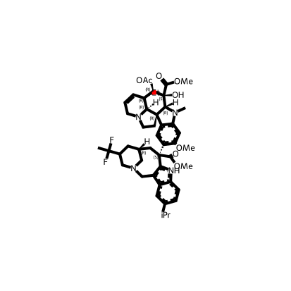 CC[C@]12C=CCN3CC[C@@]4(c5cc([C@@]6(C(=O)OC)C[C@H]7CC(C(C)(F)F)CN(Cc8c6[nH]c6ccc(C(C)C)cc86)C7)c(OC)cc5N(C)[C@H]4[C@@](O)(C(=O)OC)[C@@H]1OC(C)=O)[C@@H]32